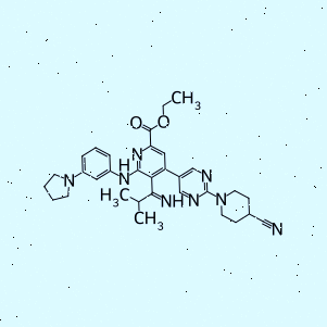 CCOC(=O)c1cc(-c2cnc(N3CCC(C#N)CC3)nc2)c(C(=N)C(C)C)c(Nc2cccc(N3CCCC3)c2)n1